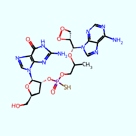 CC(COP(=O)(S)O[C@@H]1C[C@@H](CO)O[C@H]1n1cnc2c(=O)[nH]c(N)nc21)O[C@H]([C@H]1COO1)n1cnc2c(N)ncnc21